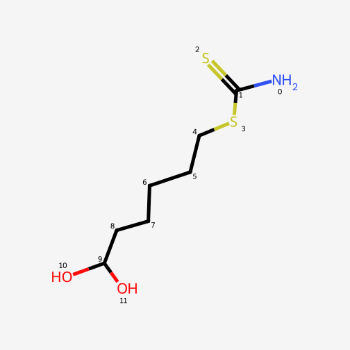 NC(=S)SCCCCCC(O)O